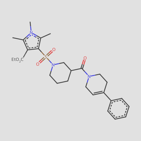 CCOC(=O)c1c(S(=O)(=O)N2CCCC(C(=O)N3CC=C(c4ccccc4)CC3)C2)c(C)n(C)c1C